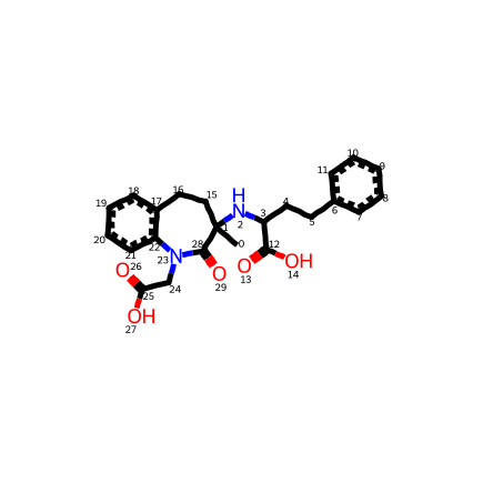 CC1(NC(CCc2ccccc2)C(=O)O)CCc2ccccc2N(CC(=O)O)C1=O